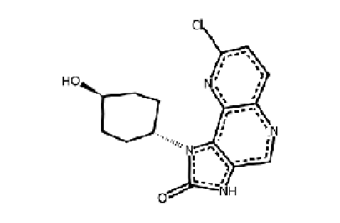 O=c1[nH]c2cnc3ccc(Cl)nc3c2n1[C@H]1CC[C@H](O)CC1